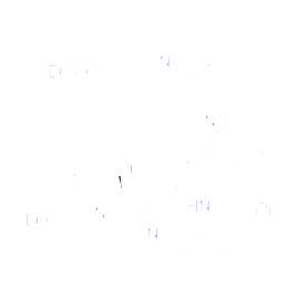 CCCC(NC(=O)[C@@H]1CCCN1C(=O)[C@@H](NC(=O)OCC(C)C)C(C)C)C(=O)C(=O)NCC(=O)N1CCCC(C(=O)OCC)C1